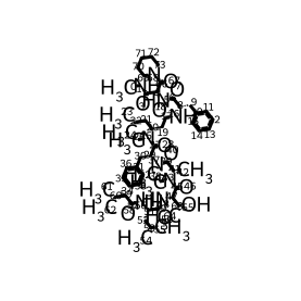 CNC(=O)[C@@H](NC(=O)[C@H](Cc1ccccc1)NC(=O)C[C@H](CC(C)C)N(C)C(=O)[C@H](Cc1ccccc1)N(C)C(=O)[C@H](C)N(C)C(=O)[C@@H](NC(=O)[C@H](CC(C)C)NC(=O)CC(C)C)[C@@H](C)O)C(=O)N1CCCCC1